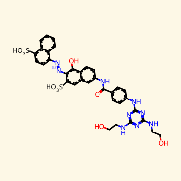 O=C(Nc1ccc2c(O)c(/N=N/c3ccc(S(=O)(=O)O)c4ccccc34)c(S(=O)(=O)O)cc2c1)c1ccc(Nc2nc(NCCO)nc(NCCO)n2)cc1